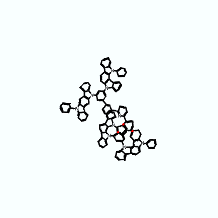 C1=Cc2c(n(-c3ccccc3)c3ccc4c5ccccc5n(-c5cc(-c6cccc(-c7cccc(-c8cccc(-c9cc(-n%10c%11ccccc%11c%11cc%12c(cc%11%10)c%10ccccc%10n%12-c%10ccccc%10)cc(-n%10c%11ccccc%11c%11c%10ccc%10c%12ccccc%12n(-c%12ccccc%12)c%10%11)c9)c8)n7)c6)cc(-n6c7ccccc7c7ccc8c9ccccc9n(-c9ccccc9)c8c76)c5)c4c23)CC1